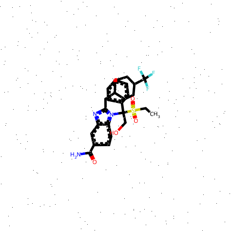 CCS(=O)(=O)C(CO)(c1ccccc1)n1c(CC2CCC(C(F)(F)F)CC2)nc2cc(C(N)=O)ccc21